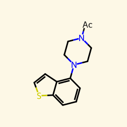 CC(=O)N1CCN(c2cccc3sccc23)CC1